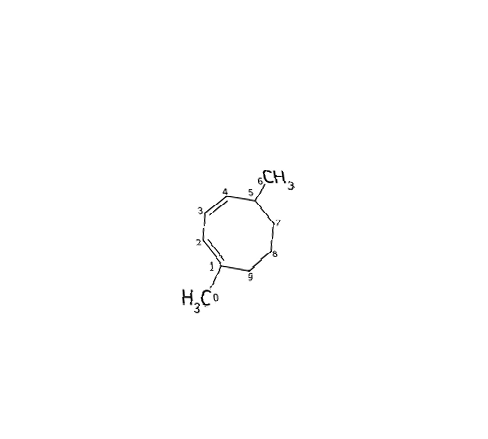 CC1=CC=CC(C)CCC1